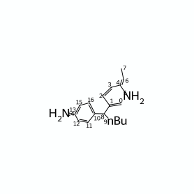 C=C(/C=C\C(N)=C/C)C(CCCC)c1ccc(N)cc1